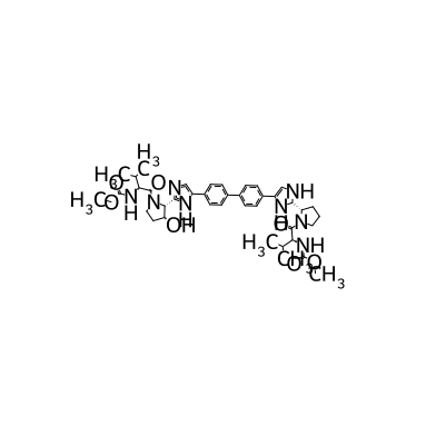 COC(=O)N[C@H](C(=O)N1CC[C@H](O)[C@H]1c1ncc(-c2ccc(-c3ccc(C4=CNC([C@@H]5CCCN5C(=O)[C@@H](NC(=O)OC)C(C)C)N4)cc3)cc2)[nH]1)C(C)C